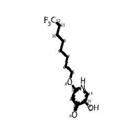 O=c1cc(OCCCCCCCC(F)(F)F)[nH]cc1O